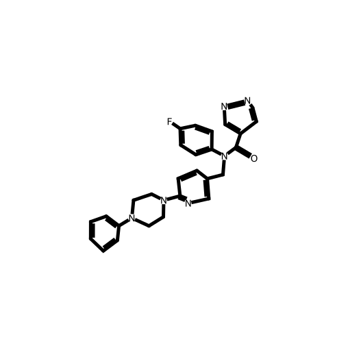 O=C(c1ccnnc1)N(Cc1ccc(N2CCN(c3ccccc3)CC2)nc1)c1ccc(F)cc1